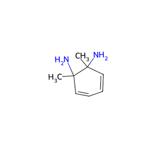 CC1(N)C=CC=CC1(C)N